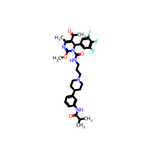 COC1=NC(C)=C(C(C)=O)C(c2cc(F)c(F)c(F)c2)N1C(=O)NCCCN1CCC(c2cccc(NC(=O)C(C)C)c2)CC1